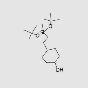 CC(C)(C)O[Si](C)(CCC1CCC(O)CC1)OC(C)(C)C